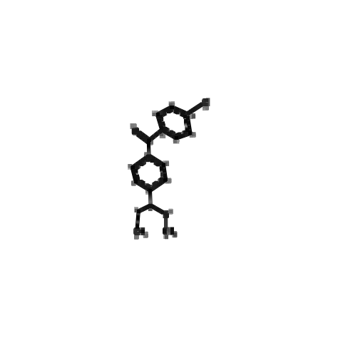 CCC(SC)c1ccc(C(=O)c2ccc(Cl)cc2)cc1